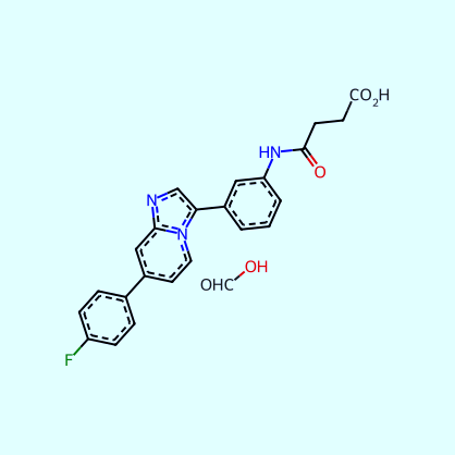 O=C(O)CCC(=O)Nc1cccc(-c2cnc3cc(-c4ccc(F)cc4)ccn23)c1.O=CO